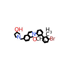 Cc1c(Br)cccc1-c1cccc(-n2ccc3cc(CN4CCC(O)C4)ccc3c2=O)c1C